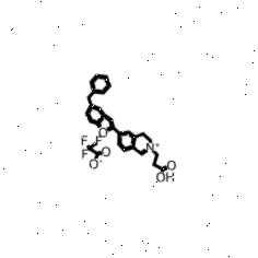 O=C(O)CC[N+]1=Cc2ccc(-c3cc4cc(Cc5ccccc5)ccc4o3)cc2CC1.O=C([O-])C(F)(F)F